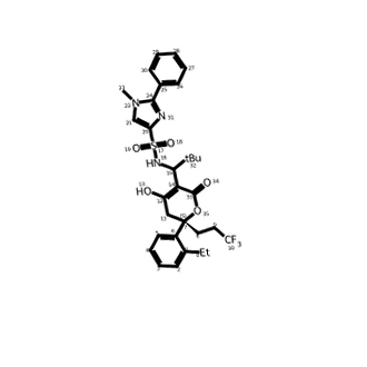 CCc1ccccc1[C@]1(CCC(F)(F)F)CC(O)=C(C(NS(=O)(=O)c2cn(C)c(-c3ccccc3)n2)C(C)(C)C)C(=O)O1